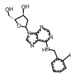 OC[C@H]1OC(n2cnc3c(NCc4ccccc4I)ncnc32)C[C@@H]1O